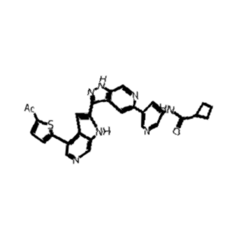 CC(=O)c1ccc(-c2cncc3[nH]c(-c4n[nH]c5cnc(-c6cncc(NC(=O)C7CCC7)c6)cc45)cc23)s1